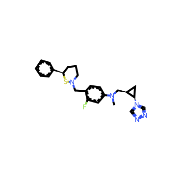 CN(C[C@H]1C[C@@H]1n1cnnc1)c1ccc(CN2CCC[C@H](c3ccccc3)S2)c(F)c1